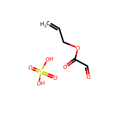 C=CCOC(=O)C=O.O=S(=O)(O)O